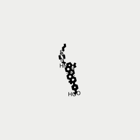 C=C(C)[C@@H]1CC[C@]2(NCCN3CCN(SCCCC)CC3)CC[C@]3(C)[C@H](CCC4[C@@]5(C)CC=C(c6ccc(C(=O)O)cc6)C(C)(C)C5CC[C@]43C)C12